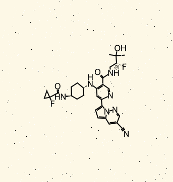 CC(C)(O)[C@H](F)CNC(=O)c1cnc(-c2ccc3cc(C#N)cnn23)cc1N[C@H]1CC[C@H](NC(=O)C2(F)CC2)CC1